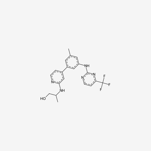 Cc1cc(Nc2nccc(C(F)(F)F)n2)cc(-c2ccnc(NC(C)CO)c2)c1